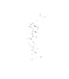 CCNC(=O)[C@@H]1CC[C@H](n2cnc3c(NC(=O)Nc4ccc(S(=O)(=O)N(CCCl)CCCl)cc4)ncnc32)O1